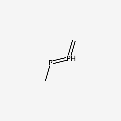 C=[PH]=PC